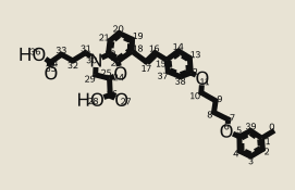 Cc1cccc(OCCCCOc2ccc(/C=C/c3cccc4c3OC(C(=O)O)CN4CCCC(=O)O)cc2)c1